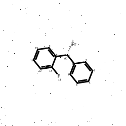 CC(C)[C@H](c1ccccc1)c1ccccc1F